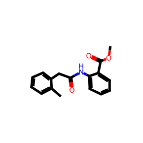 COC(=O)c1ccccc1NC(=O)Cc1ccccc1C